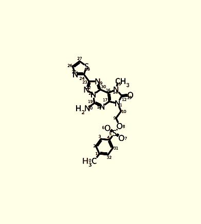 Cc1ccc(S(=O)(=O)OCCn2c(=O)n(C)c3c2nc(N)n2nc(-c4nccs4)nc32)cc1